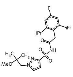 COC(C)(C)Cn1ccc(S(=O)(=O)NC(=O)Cc2c(C(C)C)cc(F)cc2C(C)C)n1